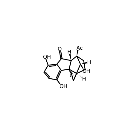 CC(=O)[C@]12CC[C@H]3C(CO[C@]34c3c(O)ccc(O)c3C(=O)[C@H]14)[C@H]2O